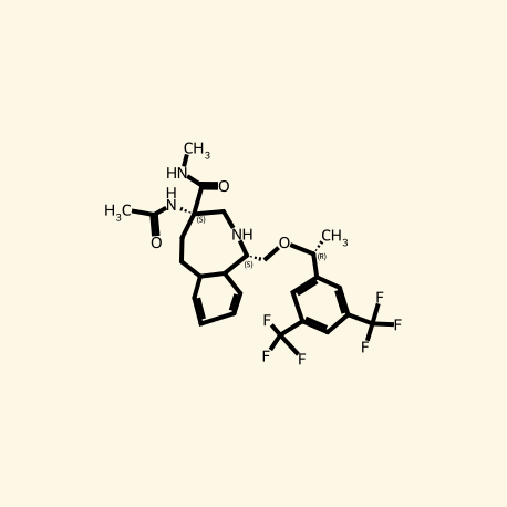 CNC(=O)[C@]1(NC(C)=O)CCC2C=CC=CC2[C@@H](CO[C@H](C)c2cc(C(F)(F)F)cc(C(F)(F)F)c2)NC1